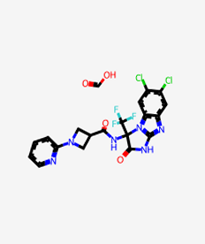 O=C(NC1(C(F)(F)F)C(=O)Nc2nc3cc(Cl)c(Cl)cc3n21)C1CN(c2ccccn2)C1.O=CO